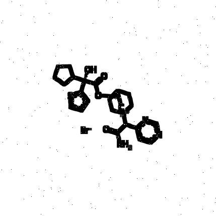 NC(=O)C(c1ccncn1)[N+]12CCC(CC1)C(OC(=O)[C@@](O)(c1cccs1)C1CCCC1)C2.[Br-]